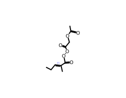 CC/C=C(\C)C(=O)OOC(=O)COC(C)=O